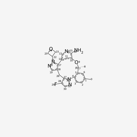 Cc1ccc2c(c1)[C@@H](C)Oc1cc(cnc1N)-c1c(cnn1C1COC1)Cc1c(F)cnn1-2